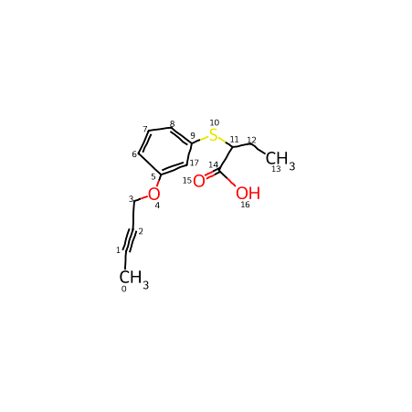 CC#CCOc1cccc(SC(CC)C(=O)O)c1